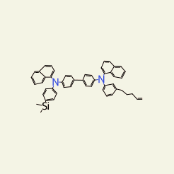 C=CCCCc1cccc(N(c2ccc(-c3ccc(N(c4ccc([Si](C)(C)C)cc4)c4cccc5ccccc45)cc3)cc2)c2cccc3ccccc23)c1